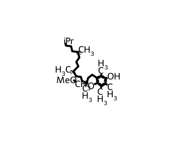 COC.Cc1c(C)c2c(c(C)c1O)CC[C@@](C)(CCC[C@H](C)CCC[C@H](C)CCCC(C)C)O2